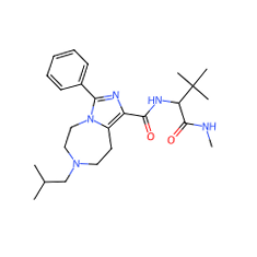 CNC(=O)C(NC(=O)c1nc(-c2ccccc2)n2c1CCN(CC(C)C)CC2)C(C)(C)C